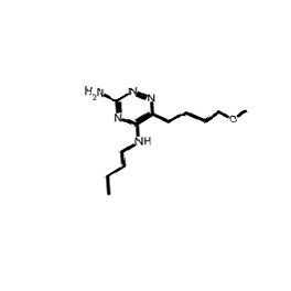 CCCCNc1nc(N)nnc1CCCCOC